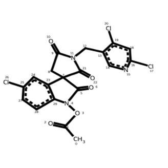 CC(=O)ON1C(=O)C2(CC(=O)N(Cc3cnc(Cl)cc3Cl)C2=O)c2cc(Cl)ccc21